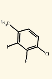 Cc1ccc(Cl)c(F)c1I